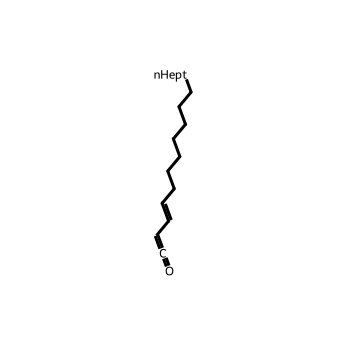 CCCCCCCCCCCCCCC=CC=C=O